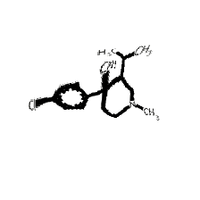 CC(C)C1CN(C)CCC1(O)c1ccc(Cl)cc1